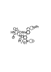 CCN(c1cc(-c2ccc3c(c2)C=CC32CCN(C(C)C)CC2)cc(C(=O)NCC2=C(OC)C=C(C)NC2=C=O)c1C)C1CCOCC1